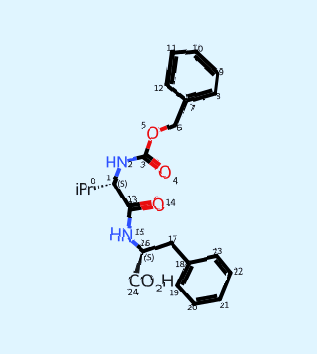 CC(C)[C@H](NC(=O)OCc1ccccc1)C(=O)N[C@@H](Cc1ccccc1)C(=O)O